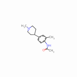 CC(=O)Nc1ccc(C2CCN(C)CC2)cc1C